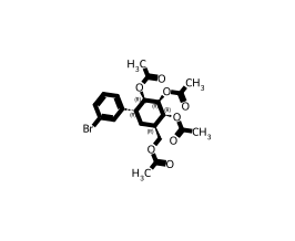 CC(=O)OC[C@H]1C[C@H](c2cccc(Br)c2)[C@@H](OC(C)=O)[C@@H](OC(C)=O)[C@@H]1OC(C)=O